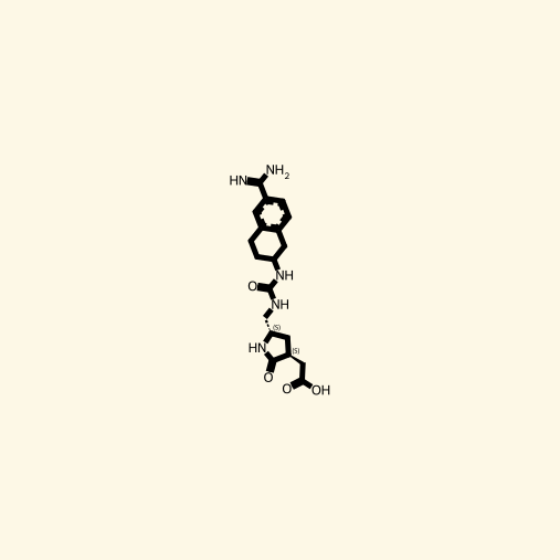 N=C(N)c1ccc2c(c1)CCC(NC(=O)NC[C@@H]1C[C@@H](CC(=O)O)C(=O)N1)C2